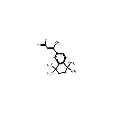 CC(=CC(=O)Cl)c1ccc2c(c1)C(C)(C)CCC2(C)C